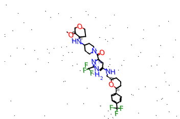 C=C(/C=C(\N=C(/N)C(F)(F)F)C(=O)N1CCC(N[C@@H]2CCOC[C@@H]2OC)CC1)NC[C@H]1CCC[C@@H](c2ccc(C(F)(F)F)cc2)O1